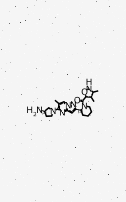 Cc1cn2nc([C@@H]3CCCCN3C(=O)C3ONC(C)C3C)cc2nc1N1CC[C@H](N)C1